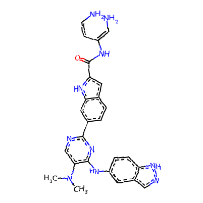 CN(C)c1cnc(-c2ccc3cc(C(=O)NC(/C=C\N)=C/N)[nH]c3c2)nc1Nc1ccc2[nH]ncc2c1